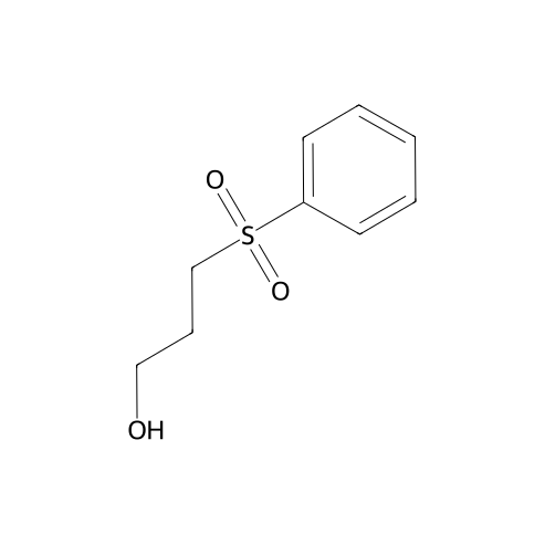 O=S(=O)(CCCO)c1ccccc1